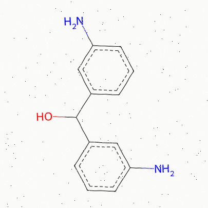 Nc1cccc(C(O)c2cccc(N)c2)c1